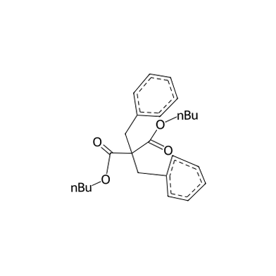 CCCCOC(=O)C(Cc1ccccc1)(Cc1ccccc1)C(=O)OCCCC